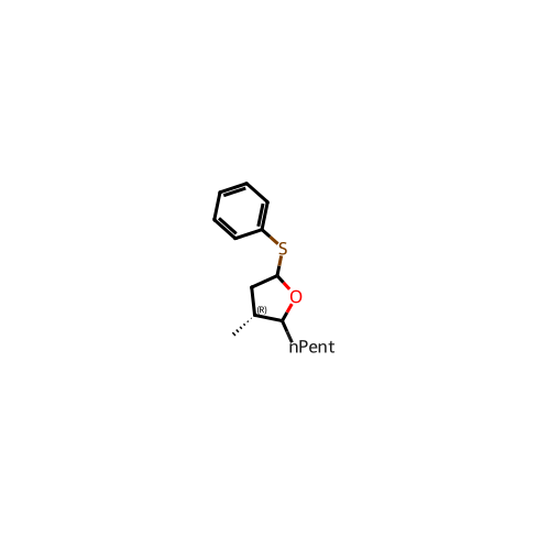 CCCCCC1OC(Sc2ccccc2)C[C@H]1C